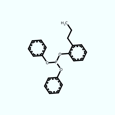 CCCc1ccccc1OP(Oc1ccccc1)Oc1ccccc1